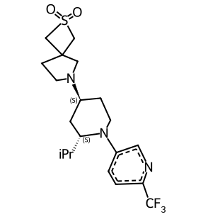 CC(C)[C@@H]1C[C@@H](N2CCC3(C2)CS(=O)(=O)C3)CCN1c1ccc(C(F)(F)F)nc1